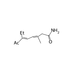 CC/C(=C\C=C(/C)CC(N)=O)C(C)=O